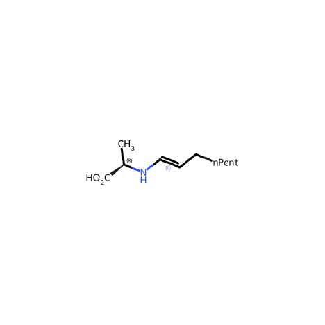 CCCCCC/C=C/N[C@H](C)C(=O)O